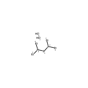 CC[N](CC)[Zr][N](CC)CC.Cl.Cl